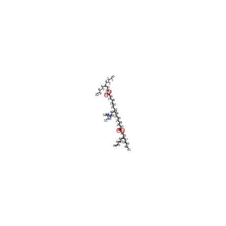 CCCCCC(CCCCC)CCOC(=O)CCCCCCCC(CCCCCCCC(=O)OCCC(CCCCC)CCCCC)CCN(CC)CC